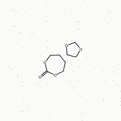 C1COCO1.O=C1OCCCCO1